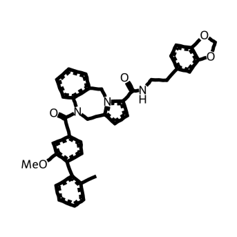 COc1cc(C(=O)N2Cc3ccc(C(=O)NCCc4ccc5c(c4)OCO5)n3Cc3ccccc32)ccc1-c1ccccc1C